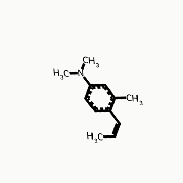 C/C=C\c1ccc(N(C)C)cc1C